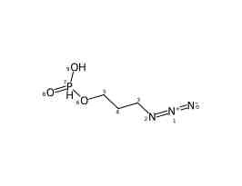 [N-]=[N+]=NCCCO[PH](=O)O